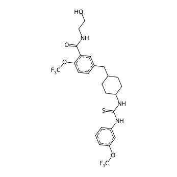 O=C(NCCO)c1cc(CC2CCC(NC(=S)Nc3cccc(OC(F)(F)F)c3)CC2)ccc1OC(F)(F)F